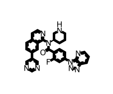 O=C(c1ccc(-n2nnc3cccnc32)cc1F)N(c1nccc2ccc(-c3cncnc3)cc12)[C@@H]1CCCNC1